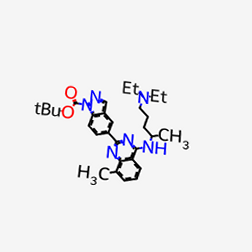 CCN(CC)CCCC(C)Nc1nc(-c2ccc3c(cnn3C(=O)OC(C)(C)C)c2)nc2c(C)cccc12